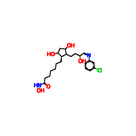 O=C(CCCCCC[C@@H]1C(CCC(O)/C=N\c2cccc(Cl)c2)[C@H](O)C[C@@H]1O)NO